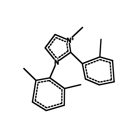 Cc1ccccc1-c1n(-c2c(C)cccc2C)cc[n+]1C